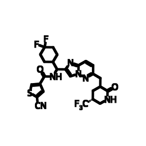 N#Cc1cc(C(=O)NC(c2cn3nc(CC4C[C@@H](C(F)(F)F)CNC4=O)ccc3n2)C2CCC(F)(F)CC2)cs1